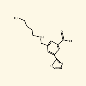 CCCCCNCc1cc(C(=O)O)cc(-c2ncco2)c1